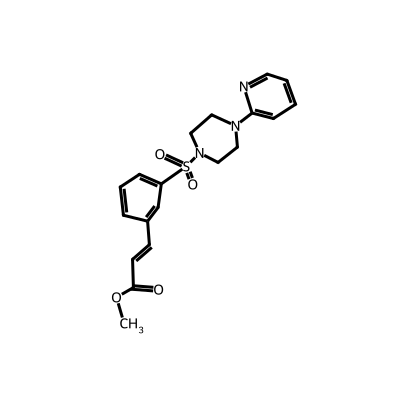 COC(=O)C=Cc1cccc(S(=O)(=O)N2CCN(c3ccccn3)CC2)c1